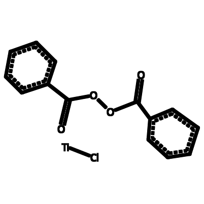 O=C(OOC(=O)c1ccccc1)c1ccccc1.[Cl][Ti]